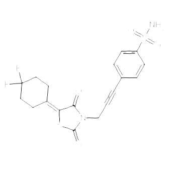 NS(=O)(=O)c1ccc(C#CCN2C(=O)SC(=C3CCC(F)(F)CC3)C2=O)cc1